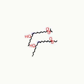 CCCCCCC(O)C/C=C\CCCCCCCC(=O)OC(C)C.CCCCCCC(O)C/C=C\CCCCCCCC(=O)OCCC